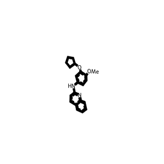 COc1ccc(Nc2ccc3ccccc3n2)cc1OC1CCCC1